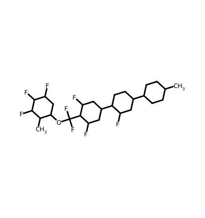 CC1CCC(C2CCC(C3CC(F)C(C(F)(F)OC4CC(F)C(F)C(F)C4C)C(F)C3)C(F)C2)CC1